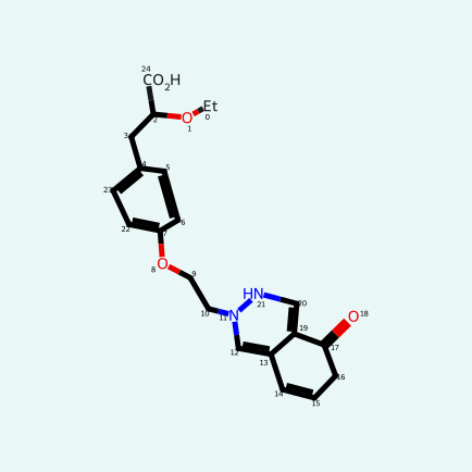 CCOC(Cc1ccc(OCCN2C=C3C=CCC(=O)C3=CN2)cc1)C(=O)O